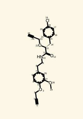 C#CCOc1ccc(CCNC(=O)[C@@H](Cc2ccc(Cl)cc2)OCC#C)cc1OC